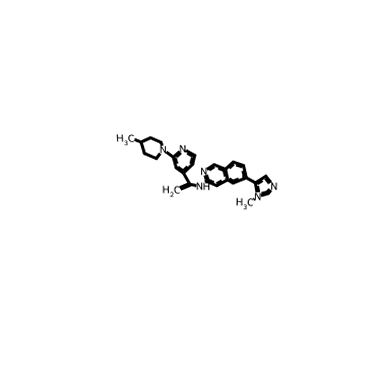 C=C(Nc1cc2cc(-c3cncn3C)ccc2cn1)c1ccnc(N2CCC(C)CC2)c1